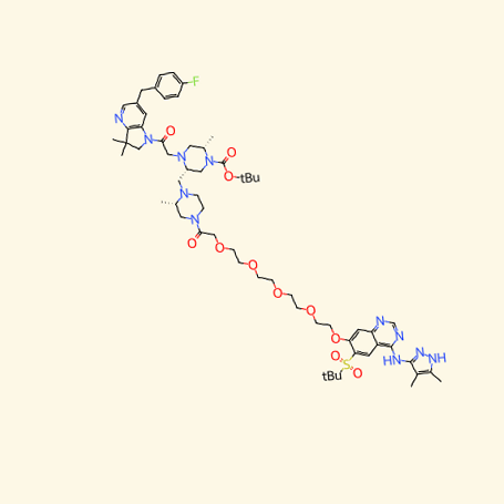 Cc1[nH]nc(Nc2ncnc3cc(OCCOCCOCCOCCOCC(=O)N4CCN(C[C@H]5CN(C(=O)OC(C)(C)C)[C@@H](C)CN5CC(=O)N5CC(C)(C)c6ncc(Cc7ccc(F)cc7)cc65)[C@@H](C)C4)c(S(=O)(=O)C(C)(C)C)cc23)c1C